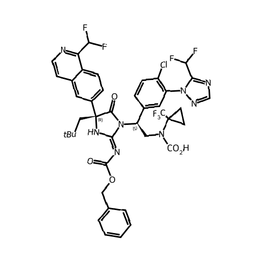 CC(C)(C)C[C@]1(c2ccc3c(C(F)F)nccc3c2)NC(=NC(=O)OCc2ccccc2)N([C@H](CN(C(=O)O)C2(C(F)(F)F)CC2)c2ccc(Cl)c(-n3ncnc3C(F)F)c2)C1=O